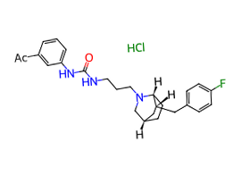 CC(=O)c1cccc(NC(=O)NCCCN2C[C@H]3CC[C@@H]2[C@H](Cc2ccc(F)cc2)C3)c1.Cl